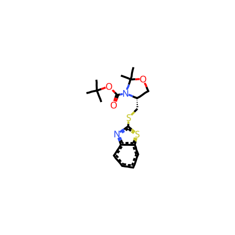 CC(C)(C)OC(=O)N1[C@@H](CSc2nc3ccccc3s2)COC1(C)C